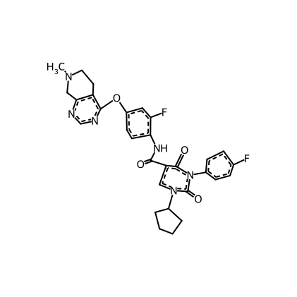 CN1CCc2c(ncnc2Oc2ccc(NC(=O)c3cn(C4CCCC4)c(=O)n(-c4ccc(F)cc4)c3=O)c(F)c2)C1